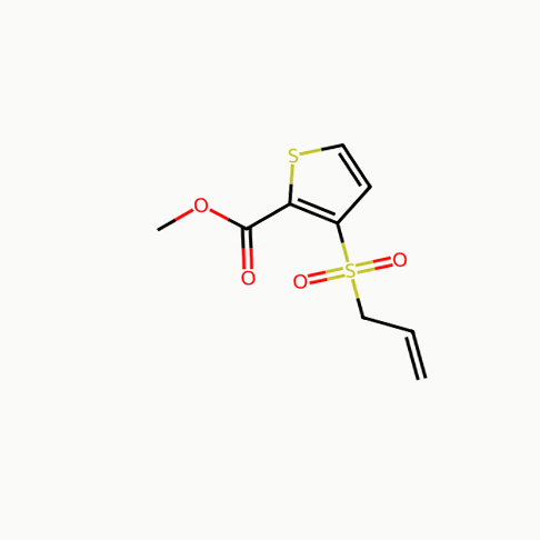 C=CCS(=O)(=O)c1ccsc1C(=O)OC